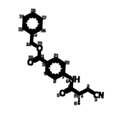 C[C@@H](CC#N)C(=O)Nc1ccc(C(=O)OCc2ccccc2)cc1